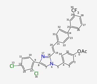 CC(=O)Oc1ccc(Cn2cc(-c3ccc(Cl)cc3Cl)nc2C=Cc2ccc(-c3cccc(C(F)(F)F)c3)cc2)cc1